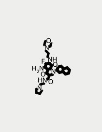 Nc1c(F)c(NCCCN2CCOCC2)c2c3c1c(=O)c(C(=O)NCCN1CCCC1)cn3-c1cc3ccccc3cc1O2